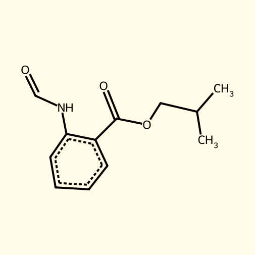 CC(C)COC(=O)c1ccccc1NC=O